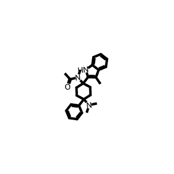 CC(=O)N(C)C1(c2[nH]c3ccccc3c2C)CCC(c2ccccc2)(N(C)C)CC1